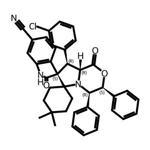 CC1(C)CCC2(CC1)N1[C@H](c3ccccc3)[C@H](c3ccccc3)OC(=O)[C@H]1[C@H](c1cccc(Cl)c1)[C@@]21C(=O)Nc2cc(C#N)ccc21